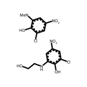 CNc1cc([N+](=O)[O-])cc(Cl)c1O.O=[N+]([O-])c1cc(Cl)c(O)c(NCCO)c1